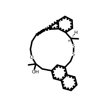 C[C@H]1SSCc2cc(cc3ccccc23)CC(C)(O)OCCc2ccc3c1cccc3c2